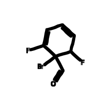 O=CC1(Br)C(F)=CC=CC1F